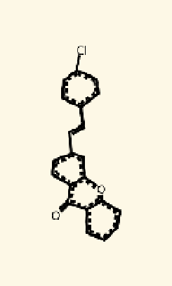 O=c1c2ccccc2oc2cc(C=Cc3ccc(Cl)cc3)ccc12